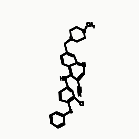 CN1CCN(Cc2ccc3c(Nc4ccc(Sc5ccccc5)c(Cl)c4)c(C#N)cnc3c2)CC1